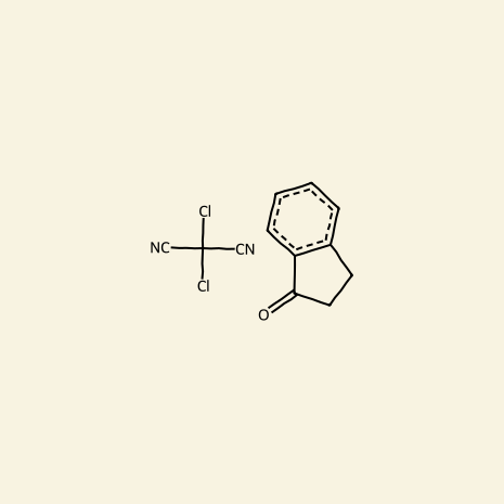 N#CC(Cl)(Cl)C#N.O=C1CCc2ccccc21